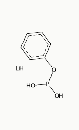 OP(O)Oc1ccccc1.[LiH]